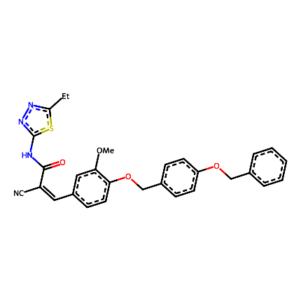 CCc1nnc(NC(=O)C(C#N)=Cc2ccc(OCc3ccc(OCc4ccccc4)cc3)c(OC)c2)s1